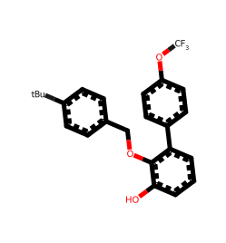 CC(C)(C)c1ccc(COc2c(O)cccc2-c2ccc(OC(F)(F)F)cc2)cc1